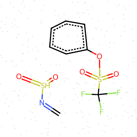 C=N[SH](=O)=O.O=S(=O)(Oc1ccccc1)C(F)(F)F